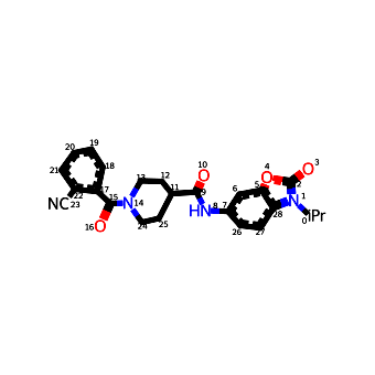 CC(C)n1c(=O)oc2cc(NC(=O)C3CCN(C(=O)c4ccccc4C#N)CC3)ccc21